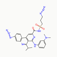 C/N=C(\c1c(-c2ccc(N=[N+]=[N-])cc2)cc(C(=O)NS(=O)(=O)CCCN=[N+]=[N-])nc1Nc1cccc(N(C)C)c1)C(C)C